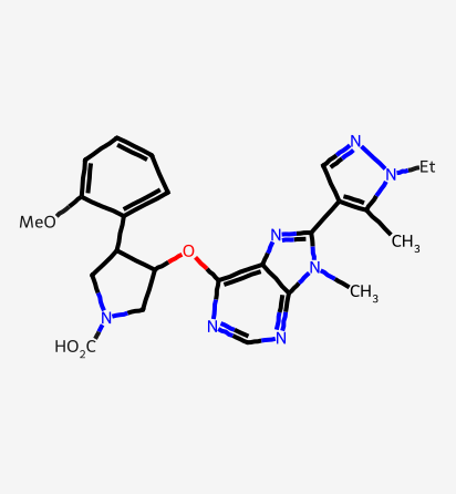 CCn1ncc(-c2nc3c(OC4CN(C(=O)O)CC4c4ccccc4OC)ncnc3n2C)c1C